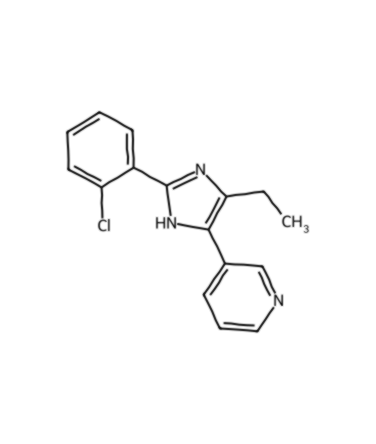 CCc1nc(-c2ccccc2Cl)[nH]c1-c1cccnc1